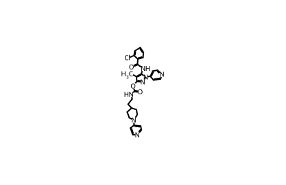 Cc1c(OC(=O)NCCC2CCN(c3ccncc3)CC2)nn(-c2ccncc2)c1NC(=O)c1ccccc1Cl